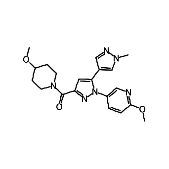 COc1ccc(-n2nc(C(=O)N3CCC(OC)CC3)cc2-c2cnn(C)c2)cn1